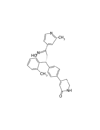 Cc1cc(/C(C[C@H](c2ccc(C3=CC(=O)NCC3)cc2)c2ccccc2C)=N/O)ccn1